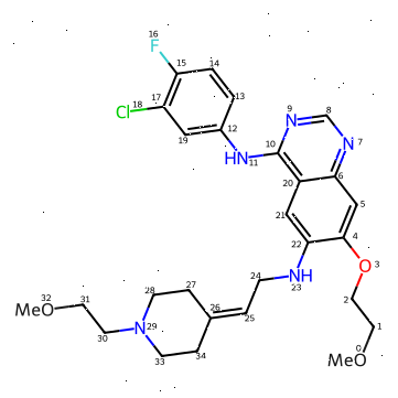 COCCOc1cc2ncnc(Nc3ccc(F)c(Cl)c3)c2cc1NCC=C1CCN(CCOC)CC1